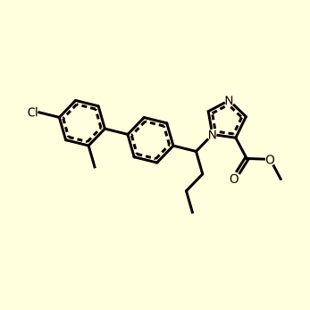 CCCC(c1ccc(-c2ccc(Cl)cc2C)cc1)n1cncc1C(=O)OC